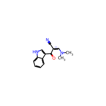 CN(C)/C=C(/C#N)C(=O)c1c[nH]c2ccccc12